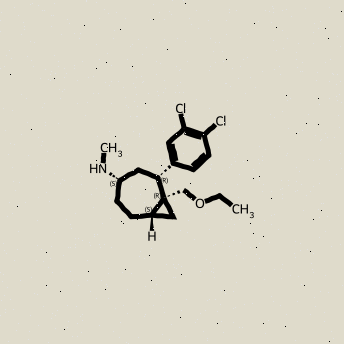 CCOC[C@]12C[C@@H]1CC[C@H](NC)C[C@@H]2c1ccc(Cl)c(Cl)c1